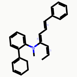 C\C=C/C(=C\C=C\c1ccccc1)N(C)c1ccccc1C1=CC=CCC1